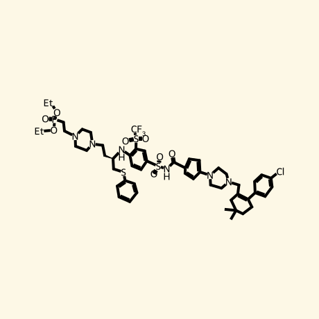 CCOP(=O)(CCN1CCN(CC[C@H](CSc2ccccc2)Nc2ccc(S(=O)(=O)NC(=O)c3ccc(N4CCN(CC5=C(c6ccc(Cl)cc6)CCC(C)(C)C5)CC4)cc3)cc2S(=O)(=O)C(F)(F)F)CC1)OCC